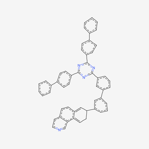 C1=c2ccc3ccncc3c2=CCC1c1cccc(-c2cccc(-c3nc(-c4ccc(-c5ccccc5)cc4)nc(-c4ccc(-c5ccccc5)cc4)n3)c2)c1